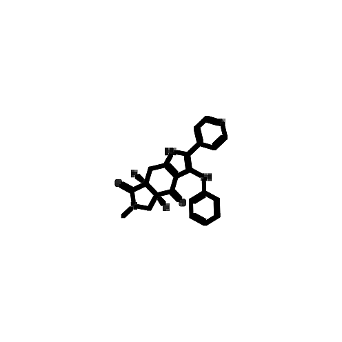 CN1C[C@H]2C(=O)c3c([nH]c(-c4ccncc4)c3Nc3ccccc3)C[C@H]2C1=O